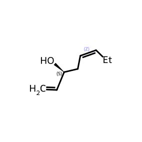 C=C[C@@H](O)C/C=C\CC